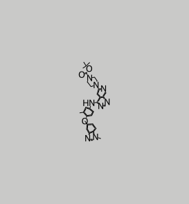 Cc1cc(Nc2ncnc3cnc(N4CCN(C(=O)OC(C)(C)C)CC4)cc23)ccc1Oc1ccc2c(c1)ncn2C